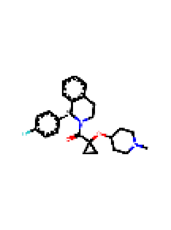 CN1CCC(OC2(C(=O)N3CCc4ccccc4[C@@H]3c3ccc(F)cc3)CC2)CC1